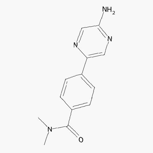 CN(C)C(=O)c1ccc(-c2cnc(N)cn2)cc1